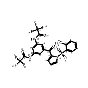 Cc1ccccc1S(=O)(=O)n1cccc1C(=O)c1cc(NC(=O)C(F)(F)F)cc(NC(=O)C(F)(F)F)c1